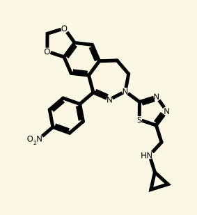 O=[N+]([O-])c1ccc(C2=NN(c3nnc(CNC4CC4)s3)CCc3cc4c(cc32)OCO4)cc1